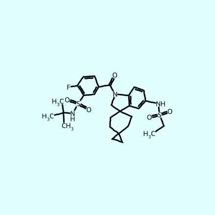 CCS(=O)(=O)Nc1ccc2c(c1)C1(CCC3(CC3)CC1)CN2C(=O)c1ccc(F)c(S(=O)(=O)NC(C)(C)C)c1